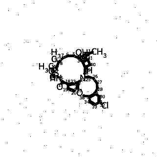 CC#C[C@@]1(O)CCC[C@H](C)[C@@H](C)S(=O)(=O)NC(=O)c2ccc3c(c2)N(CCCCc2cc(Cl)ccc2CO3)C[C@@H]2CC[C@H]21